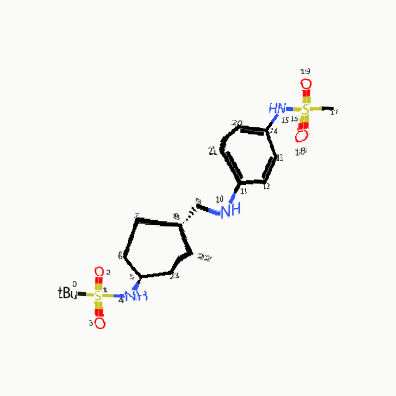 CC(C)(C)S(=O)(=O)N[C@H]1CC[C@H](CNc2ccc(NS(C)(=O)=O)cc2)CC1